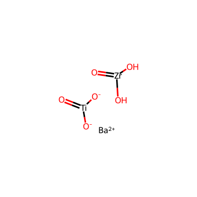 [Ba+2].[O]=[Ti]([O-])[O-].[O]=[Zr]([OH])[OH]